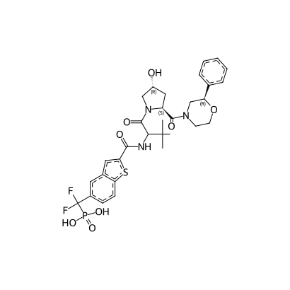 CC(C)(C)C(NC(=O)c1cc2cc(C(F)(F)P(=O)(O)O)ccc2s1)C(=O)N1C[C@H](O)C[C@H]1C(=O)N1CCO[C@H](c2ccccc2)C1